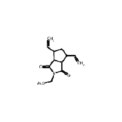 C=CC1CC(C=C)C2C(=O)N(COC(C)=O)C(=O)C12